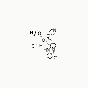 COCCOc1cc2c(Nc3cccc(Cl)c3F)ncnc2cc1OC1CCNCC1.Cl.Cl